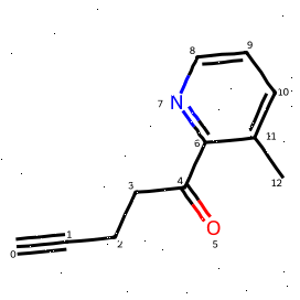 C#CCCC(=O)c1ncccc1C